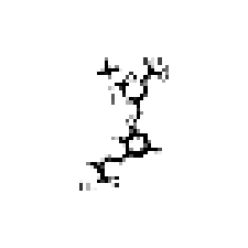 Cc1cc(CCC(C)C(=O)O)c(F)c(OC[C@H](CCC(N)=O)NC(=O)OC(C)(C)C)c1